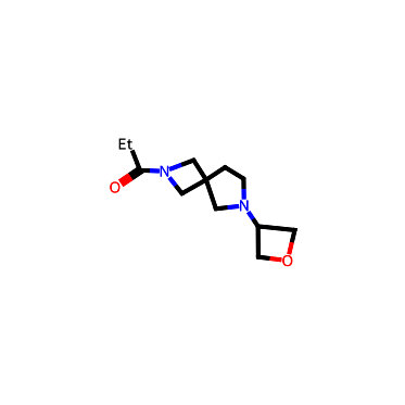 CCC(=O)N1CC2(CCN(C3COC3)C2)C1